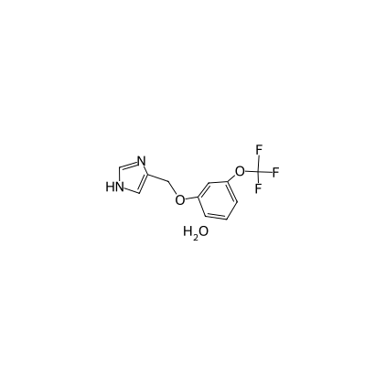 FC(F)(F)Oc1cccc(OCc2c[nH]cn2)c1.O